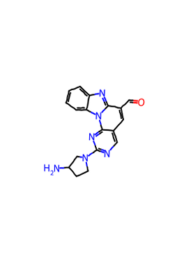 NC1CCN(c2ncc3cc(C=O)c4nc5ccccc5n4c3n2)C1